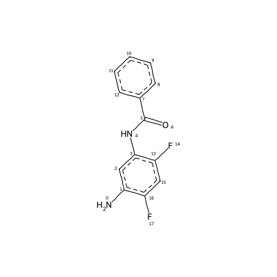 Nc1cc(NC(=O)c2ccccc2)c(F)cc1F